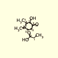 CCC(=O)O.Cc1c(O)c(=O)ccn1C